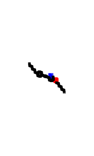 CCCCCCCOc1ccc(C#Cc2ccc(CCCCCC)cc2)nc1